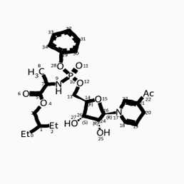 CCC(CC)COC(=O)C(C)NP(=O)(OC[C@H]1O[C@@H](N2C=CCC(C(C)=O)=C2)[C@H](O)[C@@H]1O)Oc1ccccc1